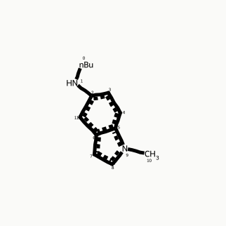 CCCCNc1ccc2c(c[c]n2C)c1